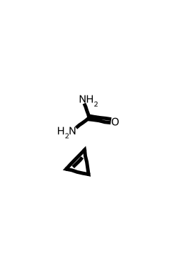 C1=CC1.NC(N)=O